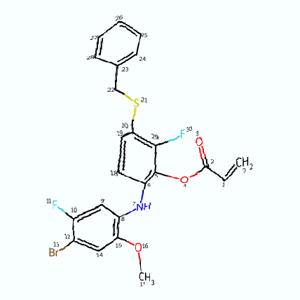 C=CC(=O)Oc1c(Nc2cc(F)c(Br)cc2OC)ccc(SCc2ccccc2)c1F